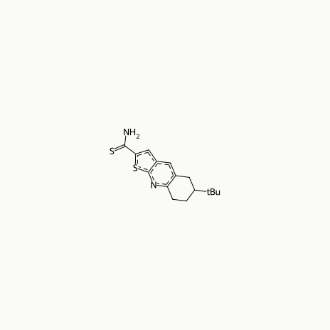 CC(C)(C)C1CCc2nc3sc(C(N)=S)cc3cc2C1